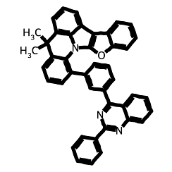 CC1(C)c2cccc(-c3cccc(-c4nc(-c5ccccc5)nc5ccccc45)c3)c2-n2c3oc4ccccc4c3c3cccc1c32